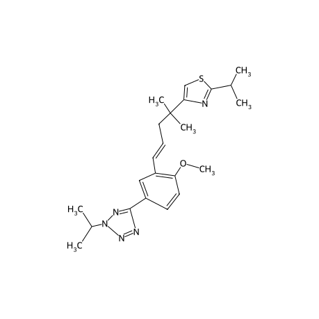 COc1ccc(-c2nnn(C(C)C)n2)cc1/C=C/CC(C)(C)c1csc(C(C)C)n1